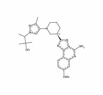 COc1ccc2c(c1)nc(N)n1nc([C@@H]3CCCN(c4cn(C(C)C(C)(C)O)nc4C)C3)nc21